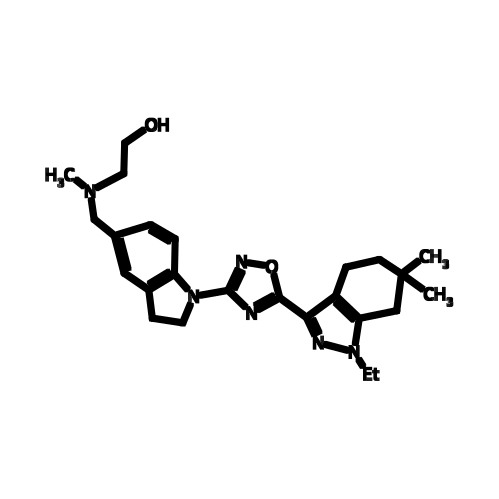 CCn1nc(-c2nc(N3CCc4cc(CN(C)CCO)ccc43)no2)c2c1CC(C)(C)CC2